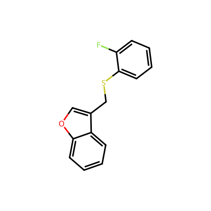 Fc1ccccc1SCc1coc2ccccc12